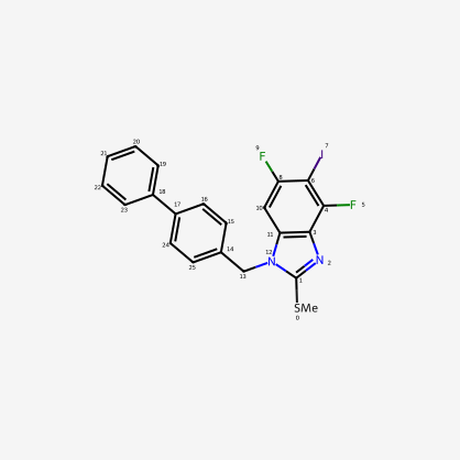 CSc1nc2c(F)c(I)c(F)cc2n1Cc1ccc(-c2ccccc2)cc1